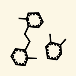 Cc1ccccc1C.Cc1ccccc1CCc1ccccc1C